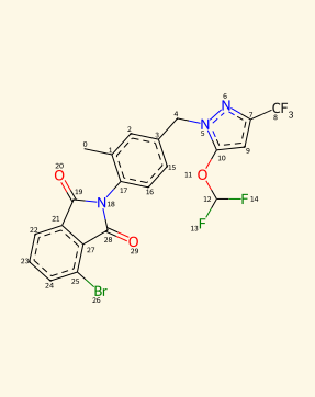 Cc1cc(Cn2nc(C(F)(F)F)cc2OC(F)F)ccc1N1C(=O)c2cccc(Br)c2C1=O